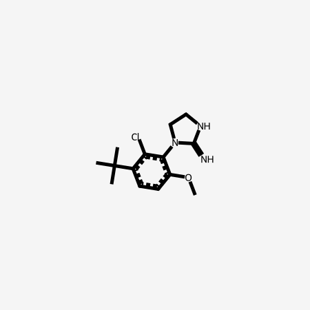 COc1ccc(C(C)(C)C)c(Cl)c1N1CCNC1=N